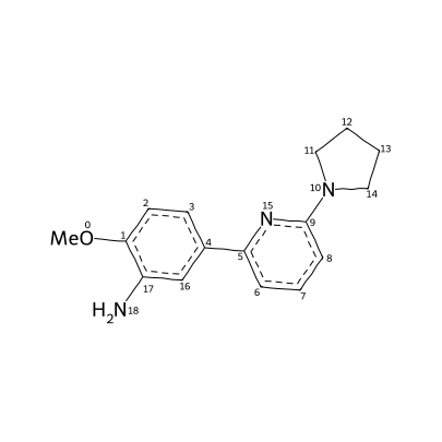 COc1ccc(-c2cccc(N3CCCC3)n2)cc1N